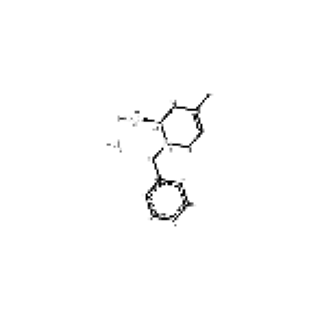 CC1=CCN(Cc2ccccc2)[C@@H](C(=O)O)C1.Cl